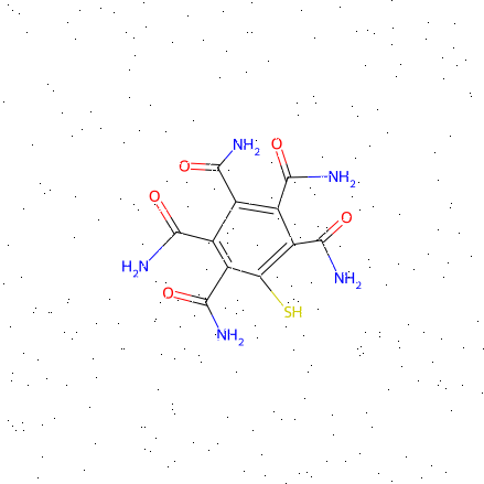 NC(=O)c1c(S)c(C(N)=O)c(C(N)=O)c(C(N)=O)c1C(N)=O